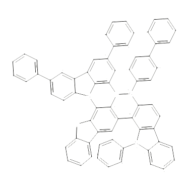 c1ccc(-c2ccc(N3B4c5c(cc6c(oc7ccccc76)c5-n5c6ccc(-c7ccccc7)cc6c6cc(-c7ccccc7)cc4c65)-c4c3ccc3c5ccccc5n(-c5ccccc5)c43)cc2)cc1